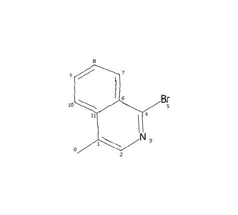 Cc1cnc(Br)c2ccccc12